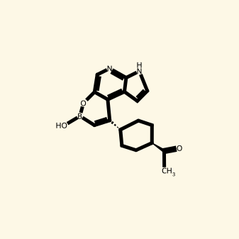 CC(=O)[C@H]1CC[C@H](C2=CB(O)Oc3cnc4[nH]ccc4c32)CC1